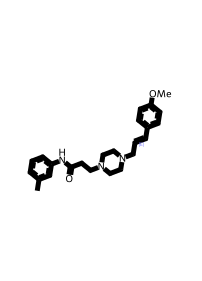 COc1ccc(/C=C/CN2CCN(CCC(=O)Nc3cccc(C)c3)CC2)cc1